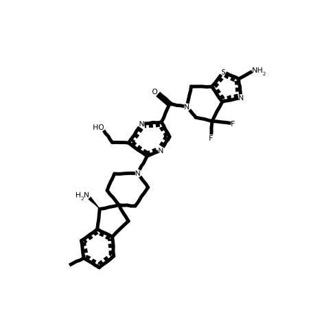 Cc1ccc2c(c1)[C@@H](N)C1(CCN(c3ncc(C(=O)N4Cc5sc(N)nc5C(F)(F)C4)nc3CO)CC1)C2